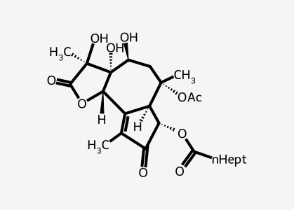 CCCCCCCC(=O)O[C@@H]1C(=O)C(C)=C2[C@H]1[C@@](C)(OC(C)=O)C[C@H](O)[C@@]1(O)[C@H]2OC(=O)[C@@]1(C)O